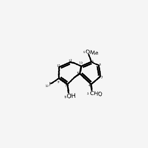 COc1ccc(C=O)c2c(O)c(I)ccc12